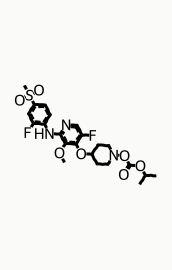 COc1c(Nc2ccc(S(C)(=O)=O)cc2F)ncc(F)c1OC1CCN(OC(=O)OC(C)C)CC1